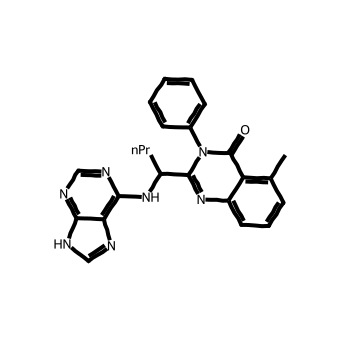 CCCC(Nc1ncnc2[nH]cnc12)c1nc2cccc(C)c2c(=O)n1-c1ccccc1